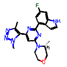 Cc1nnn(C)c1-c1cc(N2CCOC[C@H]2C)nc(-c2cc(F)cc3[nH]ccc23)n1